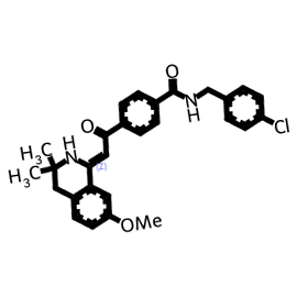 COc1ccc2c(c1)/C(=C/C(=O)c1ccc(C(=O)NCc3ccc(Cl)cc3)cc1)NC(C)(C)C2